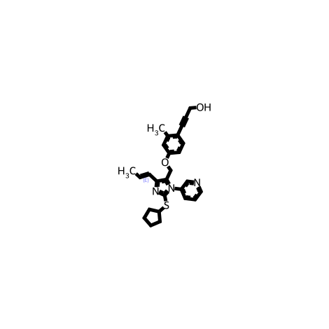 C/C=C/c1nc(SC2CCCC2)n(-c2cccnc2)c1COc1ccc(C#CCO)c(C)c1